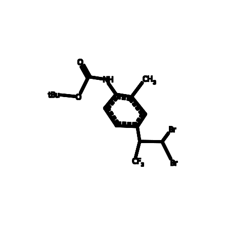 Cc1cc(C(C(Br)Br)C(F)(F)F)ccc1NC(=O)OC(C)(C)C